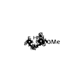 COCCn1c(=O)n(CCCn2nnc(Cc3ccc(F)cc3F)n2)c(=O)c2[nH]c(Cl)nc21